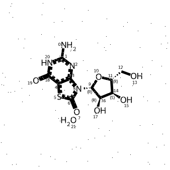 Nc1nc2c(sc(=O)n2[C@@H]2O[C@H](CO)[C@@H](O)[C@H]2O)c(=O)[nH]1.O